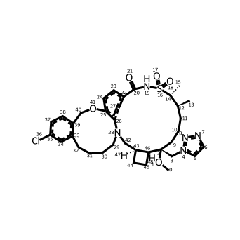 CO[C@@]1(Cn2ccnn2)CCC[C@H](C)[C@@H](C)S(=O)(=O)NC(=O)c2ccc3c(c2)N(CCCCc2cc(Cl)ccc2CO3)C[C@@H]2CC[C@H]21